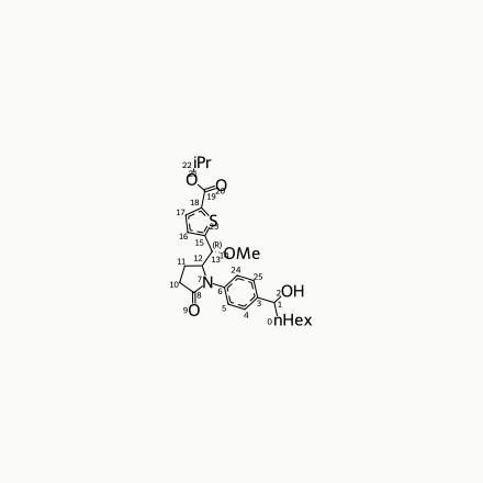 CCCCCCC(O)c1ccc(N2C(=O)CCC2[C@@H](OC)c2ccc(C(=O)OC(C)C)s2)cc1